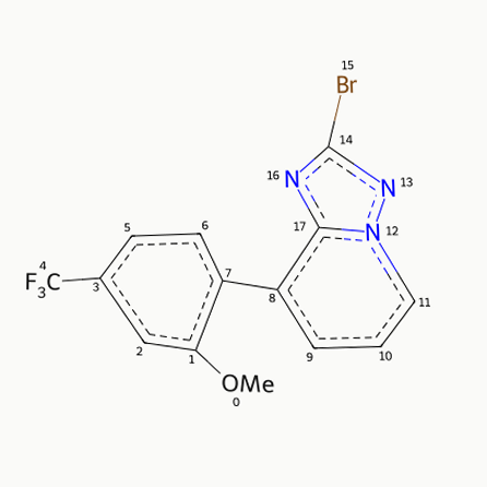 COc1cc(C(F)(F)F)ccc1-c1cccn2nc(Br)nc12